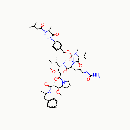 CC[C@H](C)[C@@H]([C@@H](CC(=O)N1CCC[C@H]1[C@H](OC)[C@@H](C)C(=O)N[C@H](C)Cc1ccccc1)OC)N(C)C(=O)[C@H](CCCNC(N)=O)NC(=O)C(C(C)C)N(C)C(=O)OCc1ccc(NC(=O)[C@H](C)NC(=O)CC(C)C)cc1